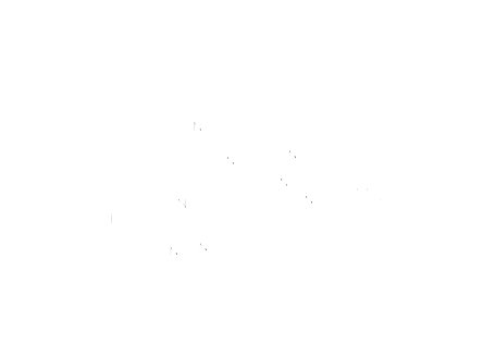 Cc1nncn1-c1cc(C2CC2)cn2cc(Cn3cc(C(=O)O)nn3)nc12